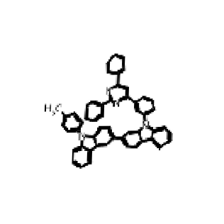 Cc1ccc(-n2c3ccccc3c3cc(-c4ccc5c6ccccc6n(-c6cccc(-c7cc(-c8ccccc8)nc(-c8ccccc8)n7)c6)c5c4)ccc32)cc1